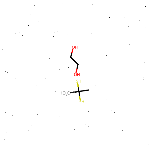 CC(S)(S)C(=O)O.OCCO